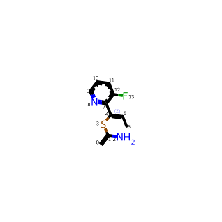 C=C(N)S/C(=C\C)c1ncccc1F